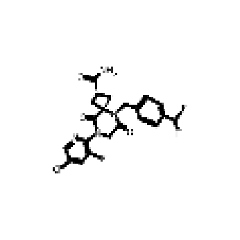 NC(=O)[C@H]1C[C@]2(C1)C(=O)N(c1ncc(Cl)cc1F)CC(=O)N2Cc1ccc(C(F)F)cc1